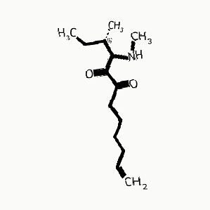 C=CCCCCC(=O)C(=O)C(NC)[C@@H](C)CC